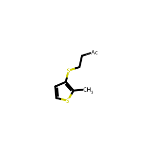 CC(=O)CCSc1ccsc1C